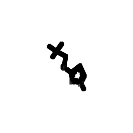 Cn1ccc(OCC(C)(C)C)n1